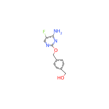 Nc1nc(OCc2ccc(CO)cc2)ncc1F